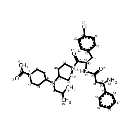 CC(=O)N1CCC(N(CC(C)C)C2CCN(C(=O)[C@@H](Cc3ccc(Cl)cc3)NC(=O)C[C@@H](N)c3ccccc3)CC2)CC1